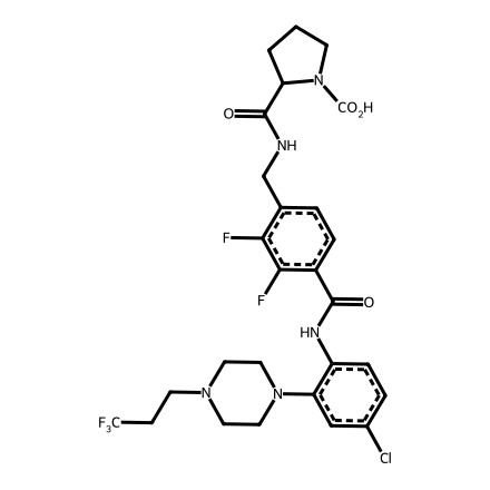 O=C(Nc1ccc(Cl)cc1N1CCN(CCC(F)(F)F)CC1)c1ccc(CNC(=O)C2CCCN2C(=O)O)c(F)c1F